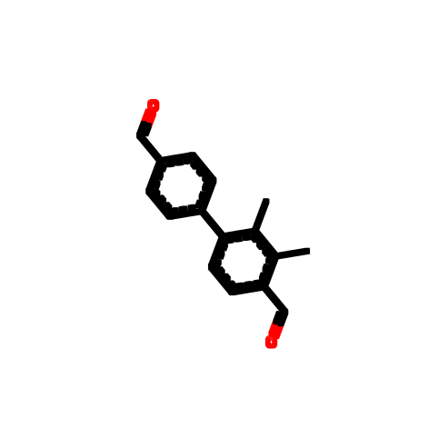 Cc1c(C=O)ccc(-c2ccc(C=O)cc2)c1C